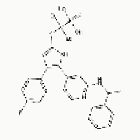 CCC(CC)(Sc1nc(-c2ccc(F)cc2)c(-c2ccnc(NC(C)c3ccccc3)c2)[nH]1)P(=O)(O)O